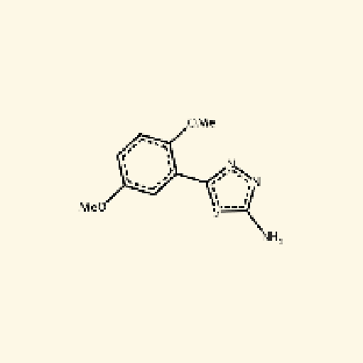 COc1ccc(OC)c(-c2nnc(N)s2)c1